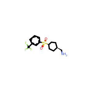 NC[C@H]1CC[C@@H](S(=O)(=O)c2cccc(C(F)(F)F)c2)CC1